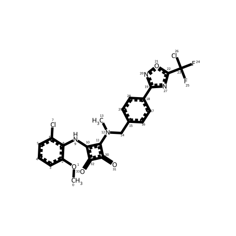 COc1cccc(Cl)c1Nc1c(N(C)Cc2ccc(-c3noc(C(F)(F)Cl)n3)cc2)c(=O)c1=O